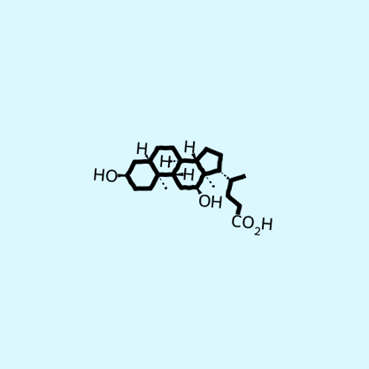 CC(CCC(=O)O)[C@H]1CC[C@H]2[C@@H]3CC[C@@H]4C[C@H](O)CC[C@]4(C)[C@H]3C[C@H](O)[C@]12C